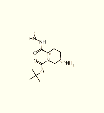 CNNC(=O)[C@H]1CC[C@H](N)CN1C(=O)OC(C)(C)C